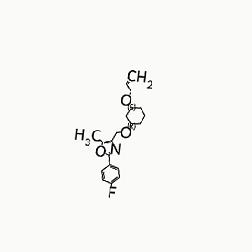 C=CCO[C@H]1CCC[C@@H](OCc2nc(-c3ccc(F)cc3)oc2C)C1